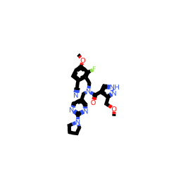 COCc1n[nH]cc1C(=O)N(Cc1cnc(N2CCCC2)nc1)Cc1c(C#N)ccc(OC)c1F